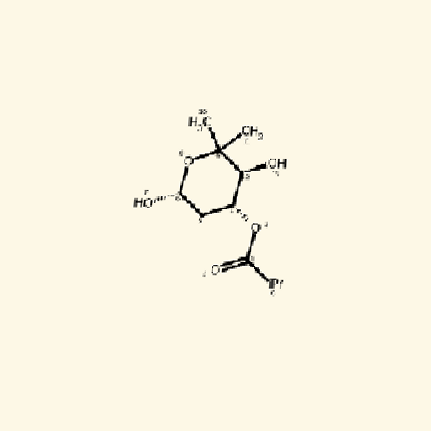 CC(C)C(=O)O[C@@H]1C[C@H](O)OC(C)(C)[C@H]1O